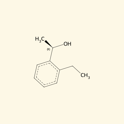 CCc1ccccc1[C@@H](C)O